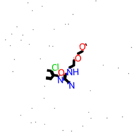 C=C/C(=C(\C)Cl)c1nc(C#N)c(NCCCOCCOC)o1